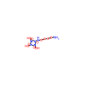 NCCOCCOCCOCCOCCNC(=O)CN1CCN(CC(=O)O)CCN(CC(=O)O)CCN(CC(=O)O)CC1